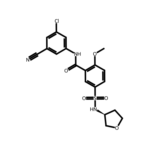 COc1ccc(S(=O)(=O)N[C@H]2CCOC2)cc1C(=O)Nc1cc(Cl)cc(C#N)c1